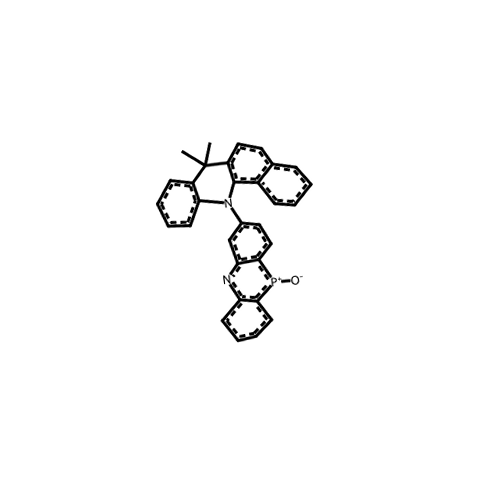 CC1(C)c2ccccc2N(c2ccc3c(c2)nc2ccccc2[p+]3[O-])c2c1ccc1ccccc21